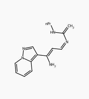 C=C(/N=C\C=C(/N)c1cnn2ccccc12)NCCC